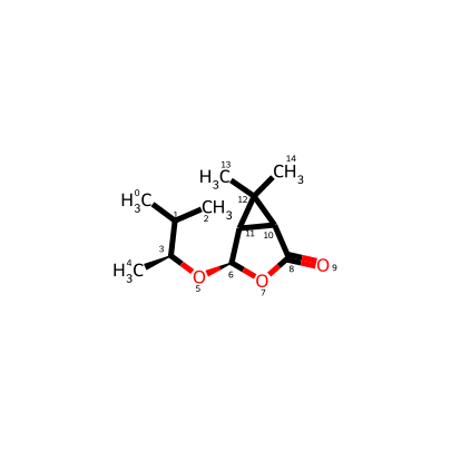 CC(C)[C@H](C)O[C@@H]1OC(=O)C2C1C2(C)C